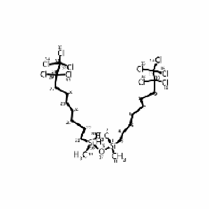 C[Si](C)(CCCCCCCC(Cl)(Cl)C(Cl)(Cl)Cl)O[Si](C)(C)CCCCCCCC(Cl)(Cl)C(Cl)(Cl)Cl